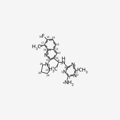 Cc1nc(N)nc(N[C@@H](C)c2cc3ccc(F)c(C)c3nc2N2CCCC2)n1